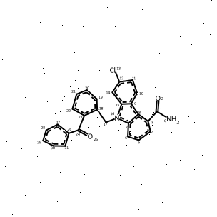 NC(=O)c1cccc2c1c1[c]cc(Cl)cc1n2Cc1ccccc1C(=O)c1ccccc1